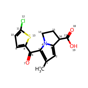 Cc1cc2n(c1C(=O)c1ccc(Cl)s1)CCC2C(=O)O